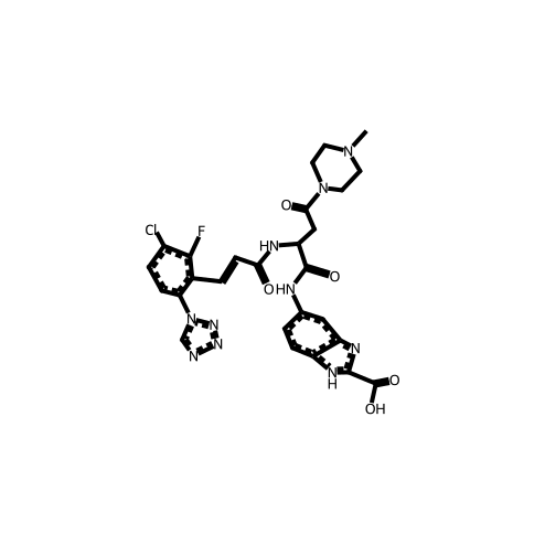 CN1CCN(C(=O)CC(NC(=O)/C=C/c2c(-n3cnnn3)ccc(Cl)c2F)C(=O)Nc2ccc3[nH]c(C(=O)O)nc3c2)CC1